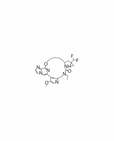 CCN1C(=O)NC(CC2(C(F)F)CC2)CCCCCOc2nc(cn3ccnc23)-c2cc(ncc2OC)[C@H]1C